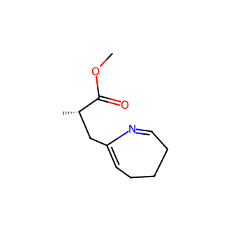 COC(=O)[C@@H](C)CC1=CCCCC=N1